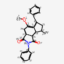 CCOC1=C2C(c3ccccc3)CC(C(C)C)C2C2C(=O)N(c3ccccc3)C(=O)C2C1